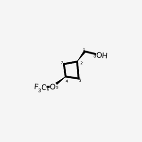 OC[C@H]1C[C@@H](OC(F)(F)F)C1